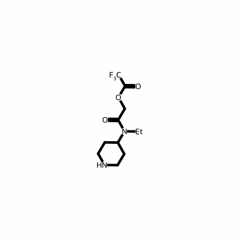 CCN(C(=O)COC(=O)C(F)(F)F)C1CCNCC1